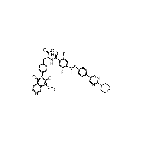 Cn1c(=O)n(-c2ccc(C[C@H](NC(=O)c3cc(F)c(NSc4ccc(-c5cnc(C6CCOCC6)nc5)cc4)cc3F)C(=O)O)cc2)c(=O)c2ccncc21